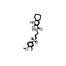 COc1ccc(S(=O)(=O)/C=C/CNC(=O)c2cc3c([nH]c2=O)CCCCC3)cc1F